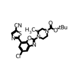 C[C@H]1CN(C(=O)OC(C)(C)C)CCN1c1nc2cc(Cl)cc(-c3ncc(C#N)s3)c2o1